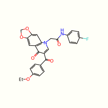 CCOc1ccc(C(=O)c2cn(CC(=O)Nc3ccc(F)cc3)c3cc4c(cc3c2=O)OCO4)cc1